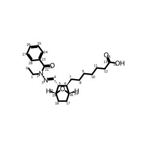 CCN(N=C[C@@H]1[C@@H](CCCCCCC(=O)O)[C@@H]2CC[C@H]1O2)C(=O)c1ccccc1